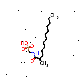 C=C(CCCCCCCCCCC)C(=O)NCS(=O)(=O)O